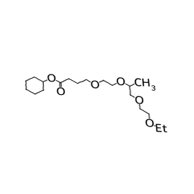 CCOCCOCC(C)OCCOCCCC(=O)OC1CCCCC1